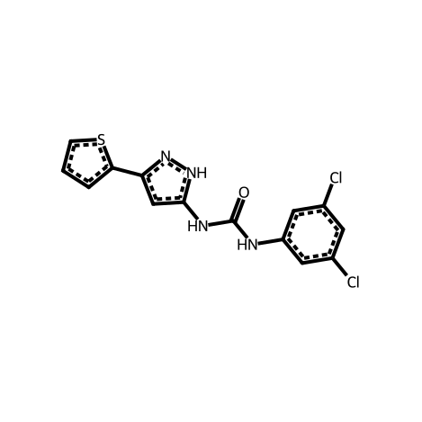 O=C(Nc1cc(Cl)cc(Cl)c1)Nc1cc(-c2cccs2)n[nH]1